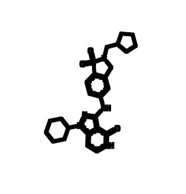 O=c1[nH]ccc2c1c(Nc1ccc3c(c1)CN(CC1CCCC1)S3(=O)=O)nn2C1CCCCC1